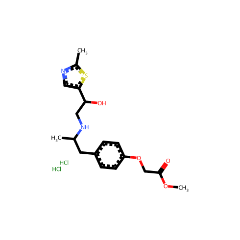 COC(=O)COc1ccc(CC(C)NCC(O)c2cnc(C)s2)cc1.Cl.Cl